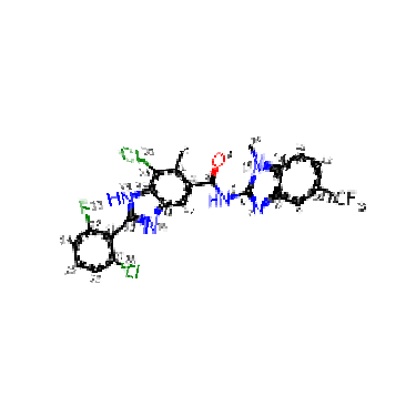 Cc1c(C(=O)Nc2nc3cc(C(F)(F)F)ccc3n2C)cc2nc(-c3c(F)cccc3Cl)[nH]c2c1Cl